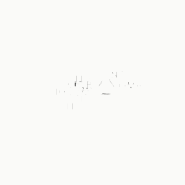 COc1ccc(B(O)OC(C)(C)C(C)(C)O)cc1[N+](=O)[O-]